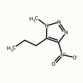 CCCc1c([N+](=O)[O-])nnn1C